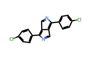 Clc1ccc(C2=C3C=NC(c4ccc(Cl)cc4)=C3C=N2)cc1